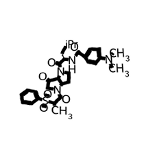 CC(C)C[C@H](NC(=O)c1ccc(N(C)C)cc1)C(=O)N1CCC2C1C(=O)CN2C(=O)C(C)S(=O)(=O)c1ccccc1